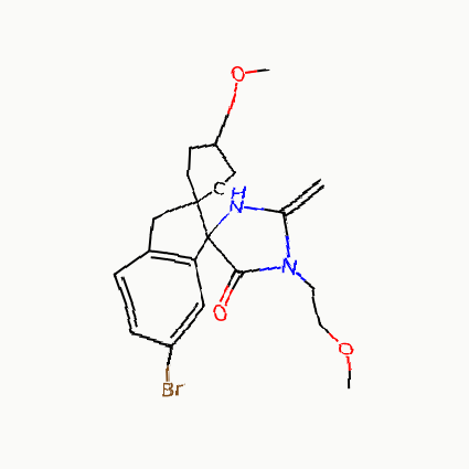 C=C1NC2(C(=O)N1CCOC)c1cc(Br)ccc1CC21CCC(OC)CC1